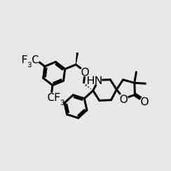 C[C@@H](OC[C@@]1(c2ccccc2)CCC2(CN1)CC(C)(C)C(=O)O2)c1cc(C(F)(F)F)cc(C(F)(F)F)c1